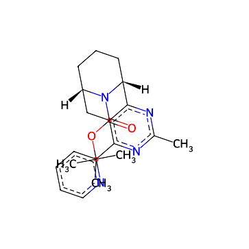 Cc1nc(-c2ccccn2)c2c(n1)[C@H]1CCC[C@@H](C2)N1C(=O)OC(C)(C)C